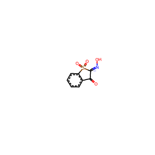 O=C1/C(=N/O)S(=O)(=O)c2ccccc21